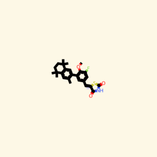 COc1c(F)cc(/C=C2\SC(=O)NC2=O)cc1-c1cc2c(cc1C)C(C)(C)CCC2(C)C